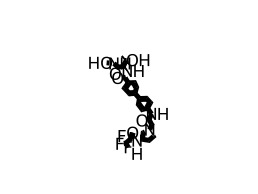 C[C@@H](O)[C@H](NC(=O)c1ccc(-c2ccc(NC(=O)CN3CC[C@@H](NC(=O)C(F)(F)F)C3)cc2)cc1)C(=O)NO